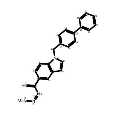 CN/N=N\C(=N)c1ccc2c(ccn2Cc2ccc(-c3ccccc3)cc2)c1